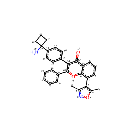 Cc1noc(C)c1-c1cccc2c(=O)c(-c3ccc(C4(N)CCC4)cc3)c(-c3ccccc3)oc12